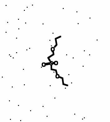 CCCOCCS(=O)(=O)CCOCCC